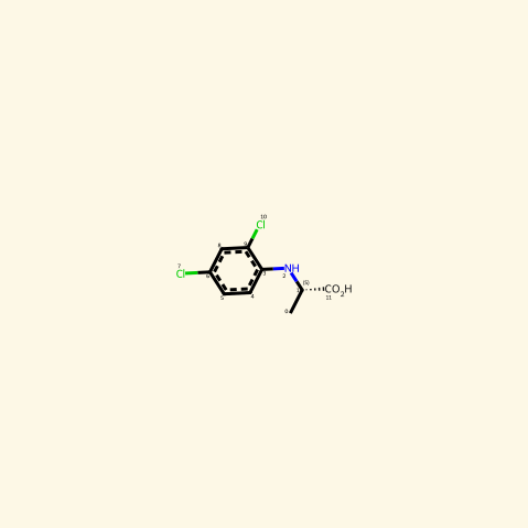 C[C@H](Nc1ccc(Cl)cc1Cl)C(=O)O